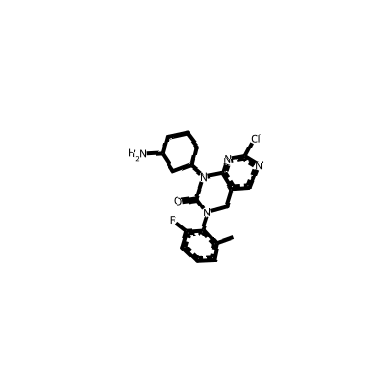 Cc1cccc(F)c1N1Cc2cnc(Cl)nc2N(C2CCCC(N)C2)C1=O